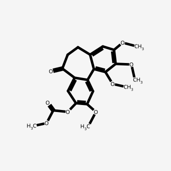 COC(=O)Oc1cc2c(cc1OC)-c1c(cc(OC)c(OC)c1OC)CCC2=O